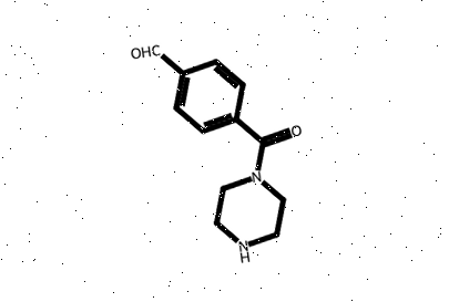 O=Cc1ccc(C(=O)N2CCNCC2)cc1